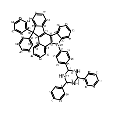 c1ccc(C2NC(c3ccccc3)NC(c3ccc(-n4c5ccccc5c5c6c(c7ccccc7c54)C(c4ccccc4)(c4ccccc4)c4ccccc4-6)cc3)N2)cc1